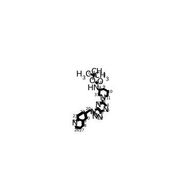 CC(C)(C)OC(=O)NC1CCCN(c2cnc3nnn(Cc4ccc5ncccc5c4)c3n2)C1